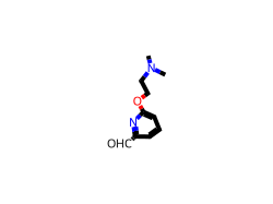 CN(C)CCOc1cccc(C=O)n1